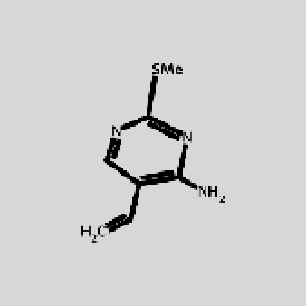 C=Cc1cnc(SC)nc1N